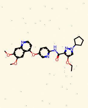 CCOc1cn(C2CCCC2)nc1C(=O)Nc1ccc(Oc2ccnc3cc(OC)c(OC)cc23)cn1